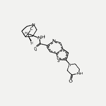 O=C1CN(c2cc3cnc(C(=O)N[C@H]4CN5CCC4CC5)cc3s2)CCN1